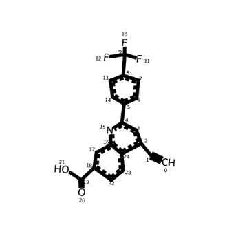 C#Cc1cc(-c2ccc(C(F)(F)F)cc2)nc2cc(C(=O)O)ccc12